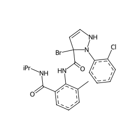 Cc1cccc(C(=O)NC(C)C)c1NC(=O)C1(Br)C=CNN1c1ccccc1Cl